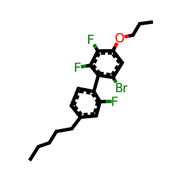 CCCCCc1ccc(-c2c(Br)cc(OCCC)c(F)c2F)c(F)c1